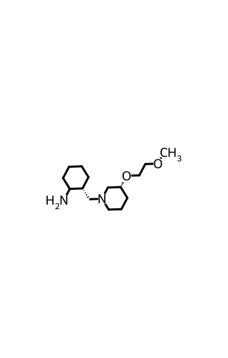 COCCO[C@@H]1CCCN(C[C@H]2CCCCC2N)C1